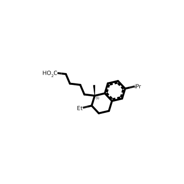 CCC1CCc2cc(C(C)C)ccc2[C@@]1(C)CCCCC(=O)O